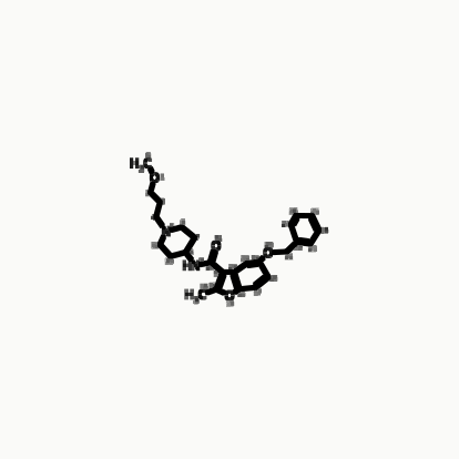 COCCCN1CCC(NC(=O)c2c(C)oc3ccc(OCc4ccccc4)cc23)CC1